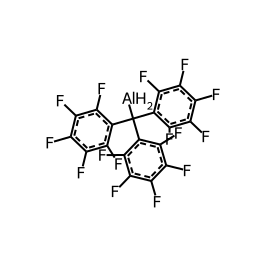 Fc1c(F)c(F)c([C]([AlH2])(c2c(F)c(F)c(F)c(F)c2F)c2c(F)c(F)c(F)c(F)c2F)c(F)c1F